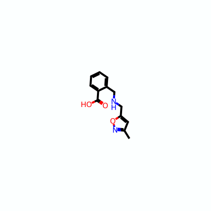 Cc1cc(CNCc2ccccc2C(=O)O)on1